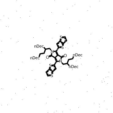 CCCCCCCCCCCCC(CCCCCCCCCC)CN1C(=O)C2=C(c3cc4sccc4s3)N(CC(CCCCCCCCCC)CCCCCCCCCCCC)C(=O)C2=C1c1cc2sccc2s1